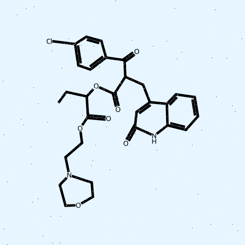 CCC(OC(=O)C(Cc1cc(=O)[nH]c2ccccc12)C(=O)c1ccc(Cl)cc1)C(=O)OCCN1CCOCC1